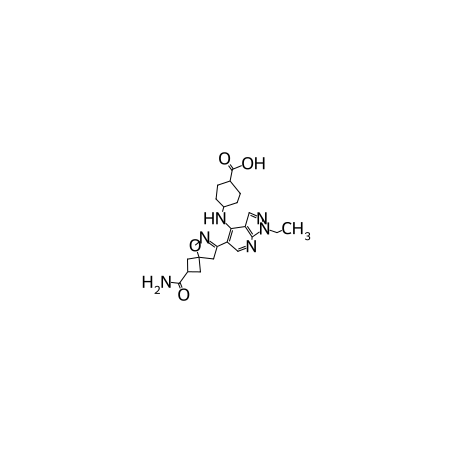 CCn1ncc2c(NC3CCC(C(=O)O)CC3)c(C3=NOC4(C3)CC(C(N)=O)C4)cnc21